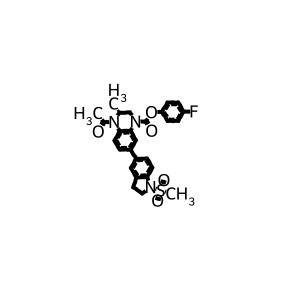 CC(=O)N1c2ccc(-c3ccc4c(c3)CCN4S(C)(=O)=O)cc2N(C(=O)Oc2ccc(F)cc2)C[C@@H]1C